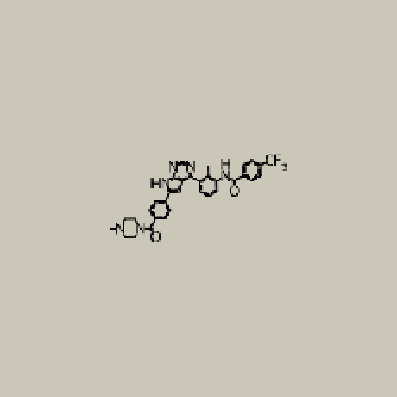 Cc1c(NC(=O)c2ccc(C(F)(F)F)cc2)cccc1-c1ncnc2[nH]c(-c3ccc(C(=O)N4CCN(C)CC4)cc3)cc12